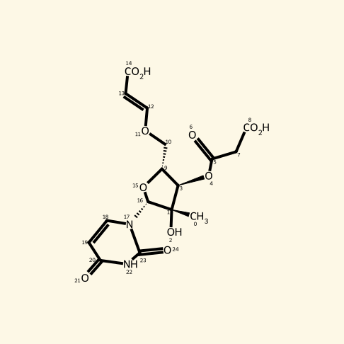 C[C@]1(O)[C@H](OC(=O)CC(=O)O)[C@@H](CO/C=C/C(=O)O)O[C@H]1n1ccc(=O)[nH]c1=O